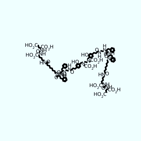 O=C(O)CCC(NC(=O)NC(CCCCNC(=O)CCCCCCCNC(=O)C(Cc1ccccc1)NC(=O)C(Cc1ccccc1)NCCNC(=O)CCc1ccc(CN(CCN(CC(=O)O)Cc2ccc(CCC(=O)NCCNC(Cc3ccccc3)C(=O)NC(Cc3ccccc3)C(=O)NCCCCCCCC(=O)NCCCCC(NC(=O)NC(CCC(=O)O)C(=O)O)C(=O)O)cc2O)CC(=O)O)c(O)c1)C(=O)O)C(=O)O